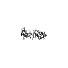 O=C(NC1CCC(CN2C(=O)C(O)(c3cc(F)cs3)c3ccccc32)CC1)c1cc(Cl)cnc1C(F)F